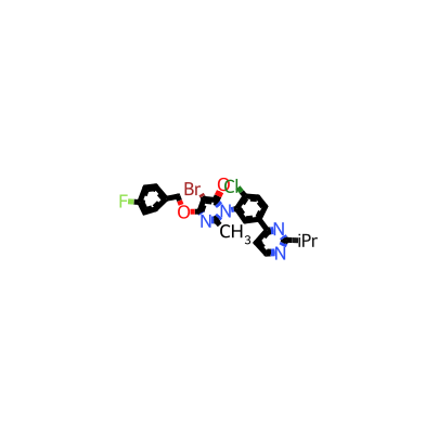 Cc1nc(OCc2ccc(F)cc2)c(Br)c(=O)n1-c1cc(-c2ccnc(C(C)C)n2)ccc1Cl